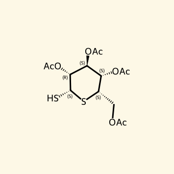 CC(=O)OC[C@@H]1S[C@H](S)[C@H](OC(C)=O)[C@@H](OC(C)=O)[C@@H]1OC(C)=O